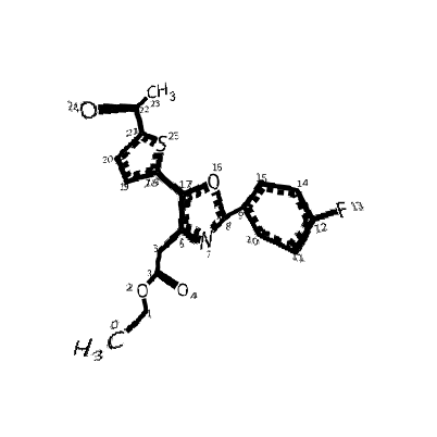 CCOC(=O)Cc1nc(-c2ccc(F)cc2)oc1-c1ccc(C(C)=O)s1